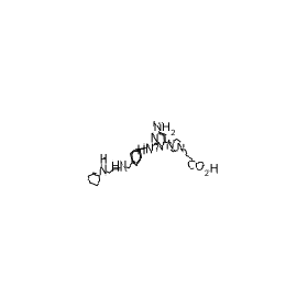 Nc1cc(N2CCN(CCCC(=O)O)CC2)nc(NCc2ccc(CNCCCNC3CCCCC3)cc2)n1